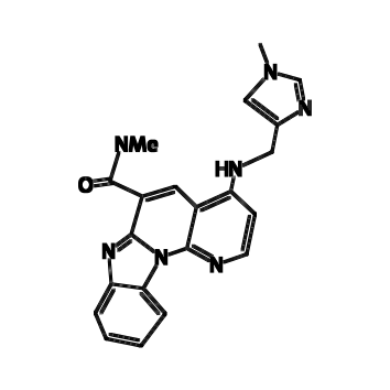 CNC(=O)c1cc2c(NCc3cn(C)cn3)ccnc2n2c1nc1ccccc12